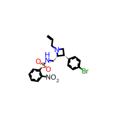 C=CCN1C[C@H](c2ccc(Br)cc2)[C@@H]1CNS(=O)(=O)c1ccccc1[N+](=O)[O-]